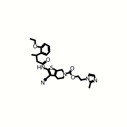 CCOc1ccccc1C(C)CC(=O)Nc1sc2c(c1C#N)CCN(C(=O)OCCn1ccnc1C)C2